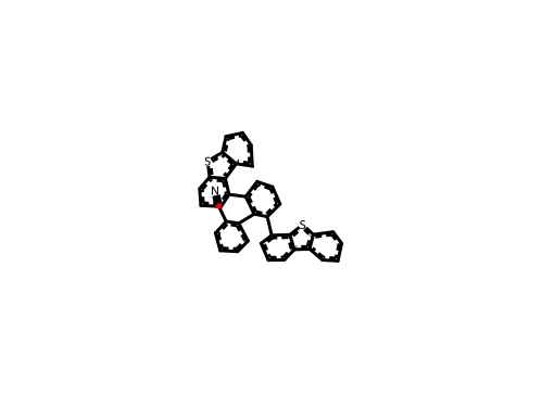 N#Cc1ccccc1-c1c(-c2cccc3c2sc2ccccc23)cccc1-c1cccc2sc3ccccc3c12